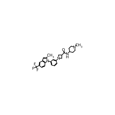 Cc1cc2cc(C(F)(F)F)ccc2n1-c1cccc(N2CC(C(=O)NC3CCN(C)CC3)C2)c1